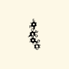 Cc1cc(OCc2ccc(F)cc2F)c(Br)c(=O)n1-c1cccc(C(=O)N2CCOCC2)c1